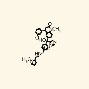 Cn1cccc1CCNCc1ccc(C(O)(c2ccc3c(c2)c(-c2cccc(Cl)c2)cc(=O)n3C)c2cncn2C)cc1